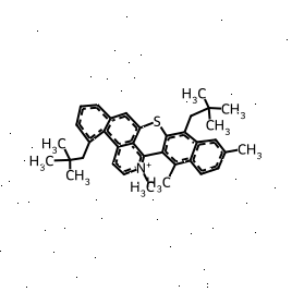 Cc1ccc2c(C)c3c(c(CC(C)(C)C)c2c1)Sc1cc2cccc(CC(C)(C)C)c2c2cc[n+](C)c-3c12